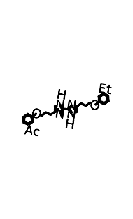 CCc1cccc(OCCCc2c[nH]c(-c3nc(CCCOc4cccc(C(C)=O)c4)c[nH]3)n2)c1